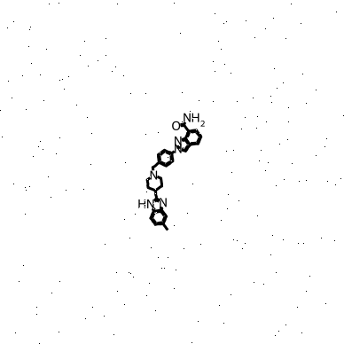 Cc1ccc2[nH]c(C3CCN(Cc4ccc(-n5cc6cccc(C(N)=O)c6n5)cc4)CC3)nc2c1